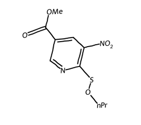 CCCOSc1ncc(C(=O)OC)cc1[N+](=O)[O-]